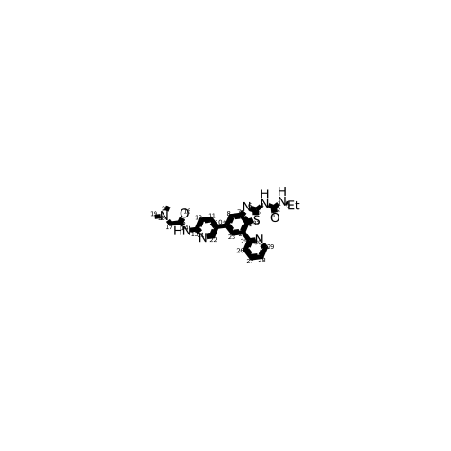 CCNC(=O)Nc1nc2cc(-c3ccc(NC(=O)CN(C)C)nc3)cc(-c3ccccn3)c2s1